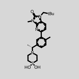 Cc1ccc([C@@H](C)N2CCS(O)(O)CC2)cc1-c1ccc2c(n1)n(C)c(=O)n2CC(C)(C)C